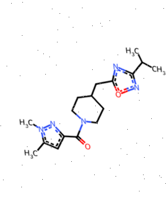 Cc1cc(C(=O)N2CCC(Cc3nc(C(C)C)no3)CC2)nn1C